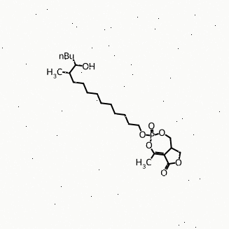 CCCCC(O)C(C)CCCCCCCCCCOP1(=O)OCC2COC(=O)C2=C(C)O1